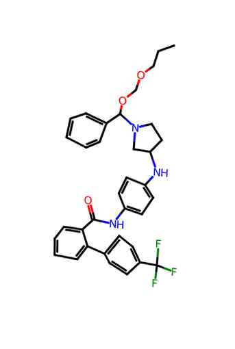 CCCOCOC(c1ccccc1)N1CCC(Nc2ccc(NC(=O)c3ccccc3-c3ccc(C(F)(F)F)cc3)cc2)C1